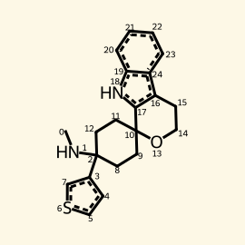 CNC1(c2ccsc2)CCC2(CC1)OCCc1c2[nH]c2ccccc12